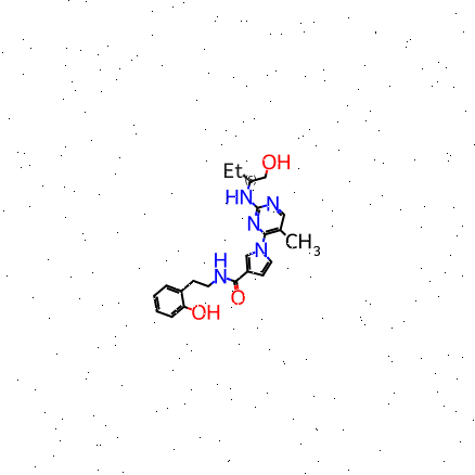 CC[C@@H](CO)Nc1ncc(C)c(-n2ccc(C(=O)NCCc3ccccc3O)c2)n1